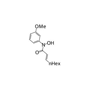 CCCCCCC=CC(=O)N(O)c1cccc(OC)c1